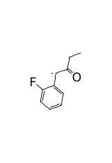 CCC(=O)[CH]c1ccccc1F